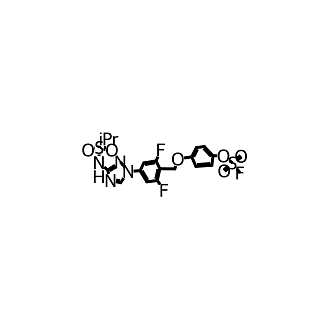 CC(C)S(=O)(=O)Nc1ncn(-c2cc(F)c(COc3ccc(OS(=O)(=O)F)cc3)c(F)c2)n1